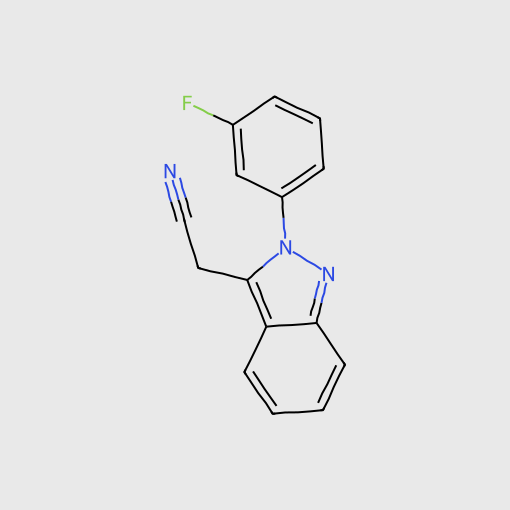 N#CCc1c2ccccc2nn1-c1cccc(F)c1